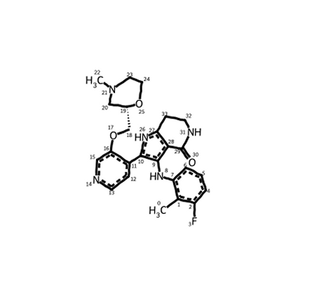 Cc1c(F)cccc1Nc1c(-c2ccncc2OC[C@@H]2CN(C)CCO2)[nH]c2c1C(=O)NCC2